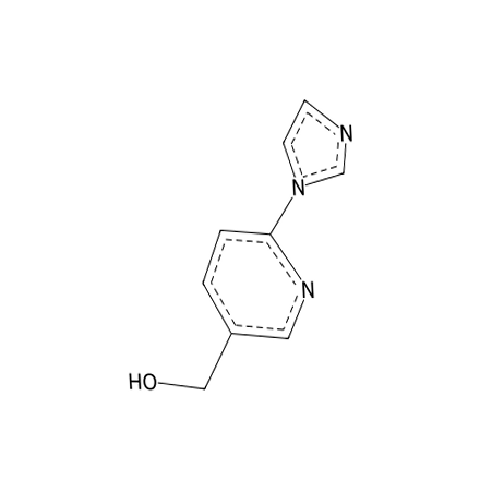 OCc1ccc(-n2ccnc2)nc1